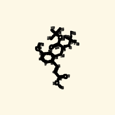 COC(=O)C=Cc1ccc(OC)cc1CN(CC(F)(F)F)C(=O)OC(C)(C)C